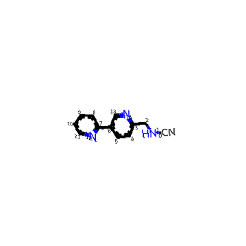 N#CNCc1ccc(-c2ccccn2)cn1